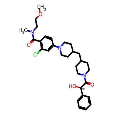 COCCN(C)C(=O)c1ccc(N2CCC(CC3CCN(C(=O)[C@H](O)c4ccccc4)CC3)CC2)cc1Cl